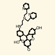 O=C(O)c1ccc(NCCN(CCc2ccccn2)Cc2ccccn2)cc1-c1c2ccc(=O)cc-2oc2cc(O)ccc12